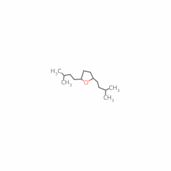 CC(C)CCC1CCC(CCC(C)C)O1